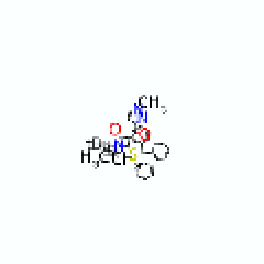 Cn1ccc(C(=O)C2C(=O)N([Si](C)(C)C(C)(C)C)C2SC(c2ccccc2)(c2ccccc2)c2ccccc2)n1